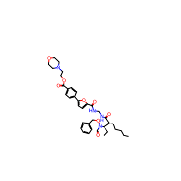 CCCCC[C@@H](C(=O)NCNC(=O)c1ccc(-c2ccc(C(=O)OCCN3CCOCC3)cc2)o1)[C@@H](CC)N(C=O)OCc1ccccc1